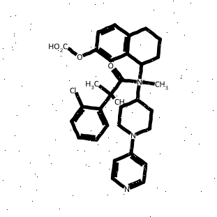 CC(C)(C(=O)[N+](C)(C1CCN(c2ccncc2)CC1)C1CCCc2ccc(OC(=O)O)cc21)c1ccccc1Cl